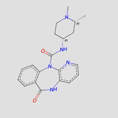 C[C@@H]1C[C@H](NC(=O)N2c3ccccc3C(=O)Nc3cccnc32)CCN1C